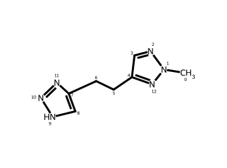 Cn1ncc(CCc2c[nH]nn2)n1